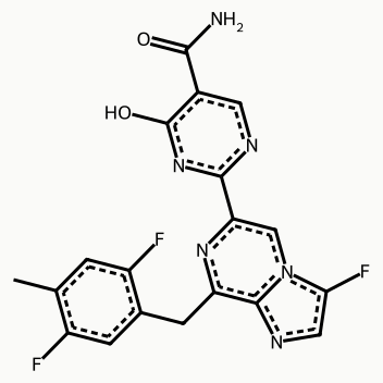 Cc1cc(F)c(Cc2nc(-c3ncc(C(N)=O)c(O)n3)cn3c(F)cnc23)cc1F